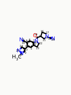 Cn1cc(-c2cc3c(cc2C#N)N(C(=O)C2CCN(C#N)C2)CC3)cn1